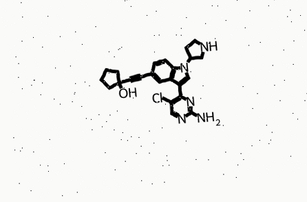 Nc1ncc(Cl)c(-c2cn(C3CCNC3)c3ccc(C#CC4(O)CCCC4)cc23)n1